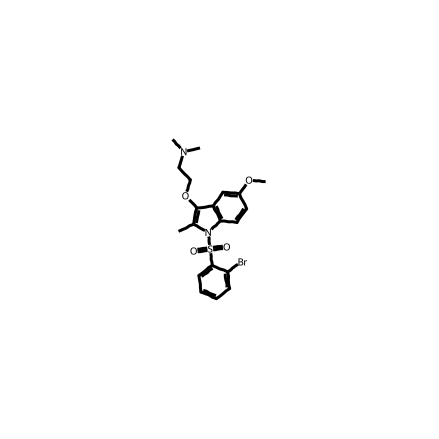 COc1ccc2c(c1)c(OCCN(C)C)c(C)n2S(=O)(=O)c1ccccc1Br